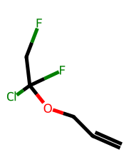 C=CCOC(F)(Cl)CF